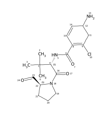 CC(C)(C)[C@H](NC(=O)C1=C(Cl)CC(N)C=C1)C(=O)N1CCC[C@H]1C=O